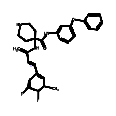 C=C(/C=C/C1=CC(C)C(F)C(F)=C1)NC1(C(=O)Nc2cccc(Oc3ccccc3)c2)CCNCC1